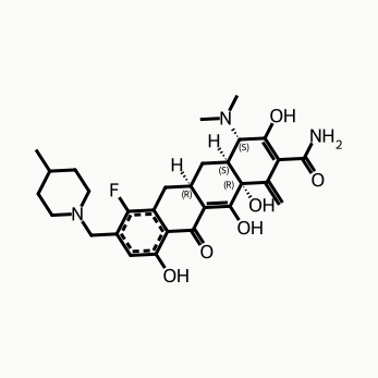 C=C1C(C(N)=O)=C(O)[C@@H](N(C)C)[C@@H]2C[C@@H]3Cc4c(F)c(CN5CCC(C)CC5)cc(O)c4C(=O)C3=C(O)[C@]12O